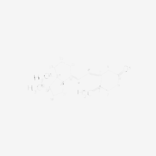 C=C1CCC(=O)C/C1=C/C=C1\CCC[C@@]2(C)C1CC[C@@H]2C